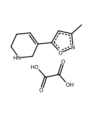 Cc1cc(C2=CCCNC2)on1.O=C(O)C(=O)O